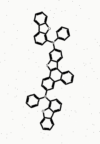 c1ccc(N(c2ccc3c(c2)sc2c4ccc(N(c5ccccc5)c5cccc6c5oc5ccccc56)cc4c4ccccc4c32)c2cccc3c2oc2ccccc23)cc1